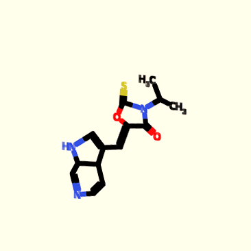 CC(C)N1C(=O)/C(=C/C2=CNC3C=NC=CC23)OC1=S